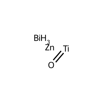 [BiH3].[O]=[Ti].[Zn]